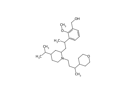 COc1c(CO)cccc1C(C)CC1CC(C(C)C)CCN1CCC(C)C1CCOCC1